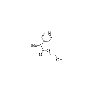 CC(C)(C)N(C(=O)OCCO)c1ccncc1